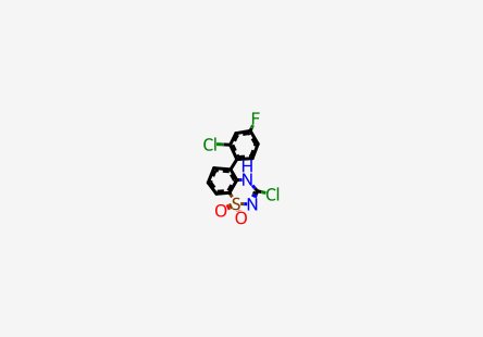 O=S1(=O)N=C(Cl)Nc2c(-c3ccc(F)cc3Cl)cccc21